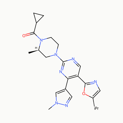 CC(C)c1cnc(-c2cnc(N3CCN(C(=O)C4CC4)[C@H](C)C3)nc2-c2cnn(C)c2)o1